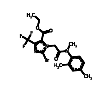 CCOC(=O)c1c(C(F)(F)F)nc(Br)n1CC(=O)N(C)c1ccc(C)cc1C